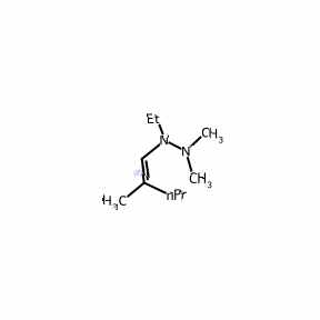 CCC/C(C)=C\N(CC)N(C)C